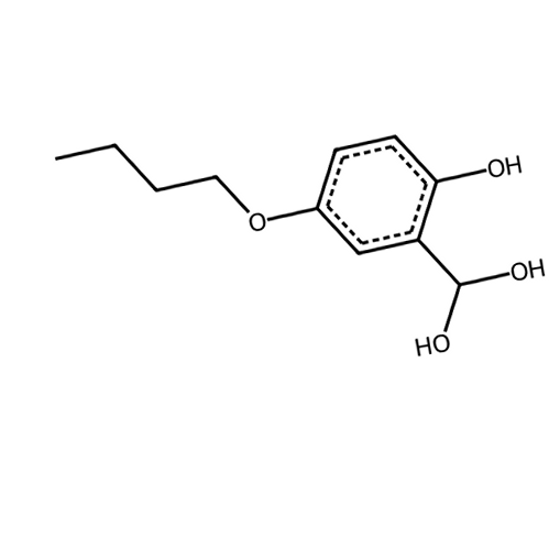 CCCCOc1ccc(O)c(C(O)O)c1